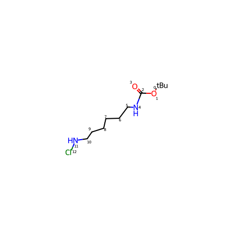 CC(C)(C)OC(=O)NCCCCCCNCl